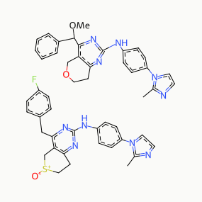 COC(c1ccccc1)c1nc(Nc2ccc(-n3ccnc3C)cc2)nc2c1COCC2.Cc1nccn1-c1ccc(Nc2nc3c(c(Cc4ccc(F)cc4)n2)C[S+]([O-])CC3)cc1